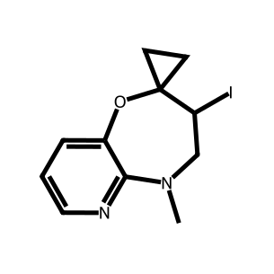 CN1CC(I)C2(CC2)Oc2cccnc21